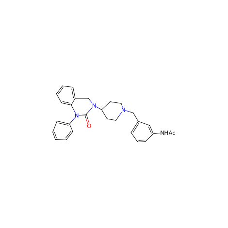 CC(=O)Nc1cccc(CN2CCC(N3Cc4ccccc4N(c4ccccc4)C3=O)CC2)c1